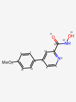 COc1ccc(-c2ccnc(C(=O)NO)c2)cc1